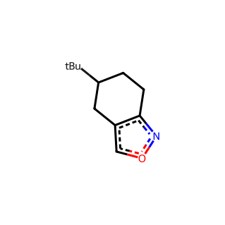 CC(C)(C)C1CCc2nocc2C1